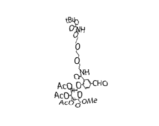 COC(=O)C1OC(Oc2ccc(C=O)cc2C(=O)NCCOCCOCCONC(=O)OC(C)(C)C)[C@H](OC(C)=O)C(OC(C)=O)[C@@H]1OC(C)=O